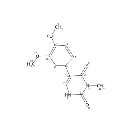 COc1ccc(-c2c[nH]c(=O)n(C)c2=S)cc1OC